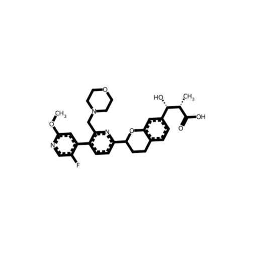 COc1cc(-c2ccc(C3CCc4ccc([C@H](O)[C@H](C)C(=O)O)cc4O3)nc2CN2CCOCC2)c(F)cn1